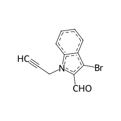 C#CCn1c(C=O)c(Br)c2ccccc21